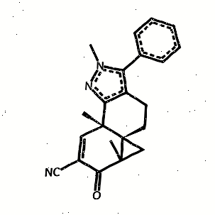 Cn1nc2c(c1-c1ccccc1)CC[C@@]13CC1(C)C(=O)C(C#N)=C[C@]23C